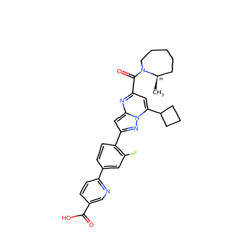 C[C@@H]1CCCCCN1C(=O)c1cc(C2CCC2)n2nc(-c3ccc(-c4ccc(C(=O)O)cn4)cc3F)cc2n1